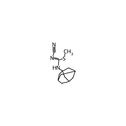 CSC(=NC#N)NC12CC3CC(CC(C3)C1)C2